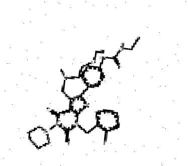 CCNC(=O)Nc1ccc(-c2sc3c(c2CN(C)CCOCC)c(=O)n(N2CCCCC2)c(=O)n3Cc2c(F)cccc2F)cc1